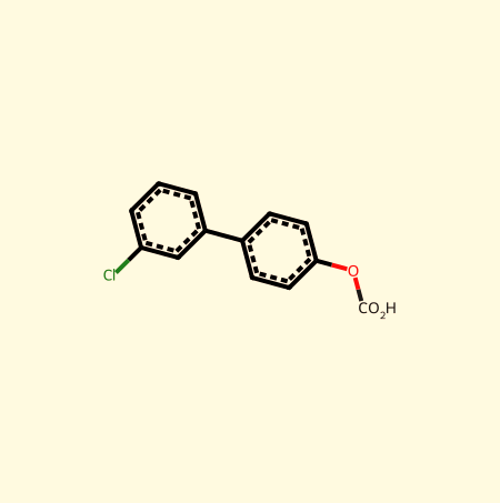 O=C(O)Oc1ccc(-c2cccc(Cl)c2)cc1